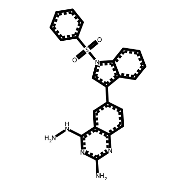 NNc1nc(N)nc2ccc(-c3cn(S(=O)(=O)c4ccccc4)c4ccccc34)cc12